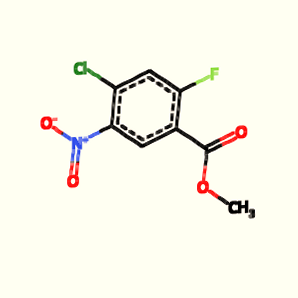 COC(=O)c1cc([N+](=O)[O-])c(Cl)cc1F